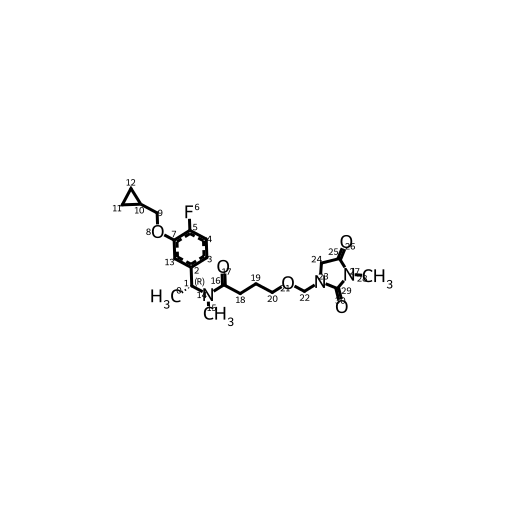 C[C@H](c1ccc(F)c(OCC2CC2)c1)N(C)C(=O)CCCOCN1CC(=O)N(C)C1=O